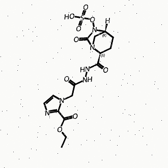 CCOC(=O)c1nccn1CC(=O)NNC(=O)[C@@H]1CC[C@@H]2CN1C(=O)N2OS(=O)(=O)O